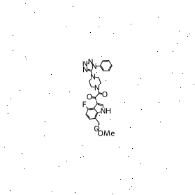 COOCc1ccc(F)c2c(C(=O)C(=O)N3CCN(c4nnnn4-c4ccccc4)CC3)c[nH]c12